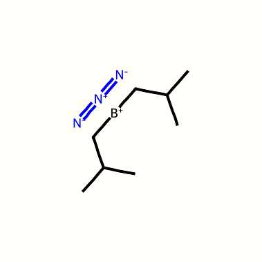 CC(C)C[B+]CC(C)C.[N-]=[N+]=[N-]